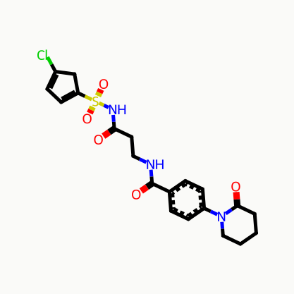 O=C(CCNC(=O)c1ccc(N2CCCCC2=O)cc1)NS(=O)(=O)C1=CC=C(Cl)C1